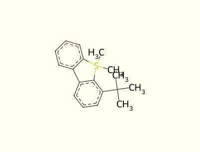 CC(C)(C)c1cccc2c1S(C)(C)c1ccccc1-2